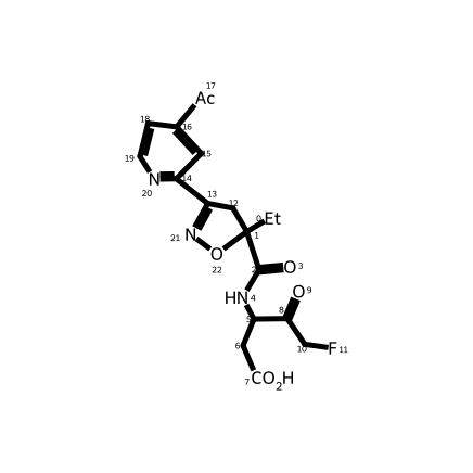 CCC1(C(=O)NC(CC(=O)O)C(=O)CF)CC(c2cc(C(C)=O)ccn2)=NO1